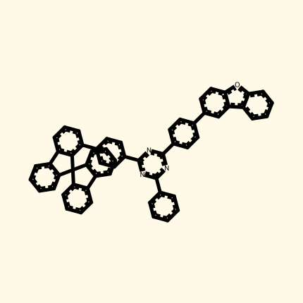 c1ccc(-c2nc(-c3ccc(-c4ccc5oc6ccccc6c5c4)cc3)nc(-c3ccc(-c4cccc5c4C4(c6ccccc6-c6ccccc64)c4ccccc4-5)cc3)n2)cc1